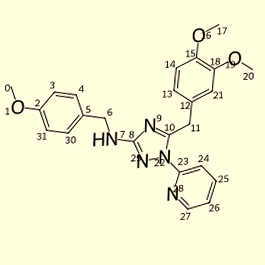 COc1ccc(CNc2nc(Cc3ccc(OC)c(OC)c3)n(-c3ccccn3)n2)cc1